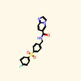 O=C(NCc1ccc(S(=O)(=O)c2ccc(F)cc2)cc1)c1ccc2nccn2c1